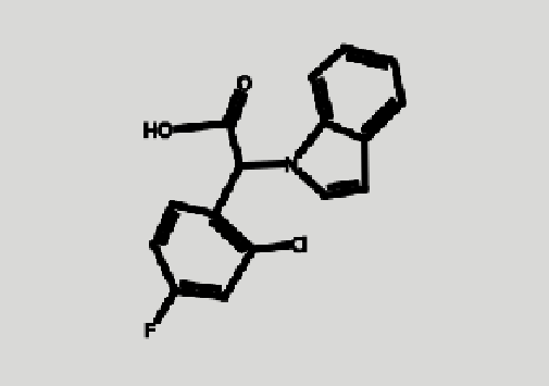 O=C(O)C(c1ccc(F)cc1Cl)n1ccc2ccccc21